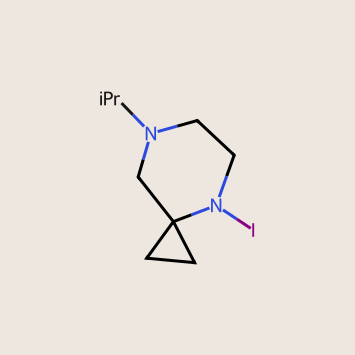 CC(C)N1CCN(I)C2(CC2)C1